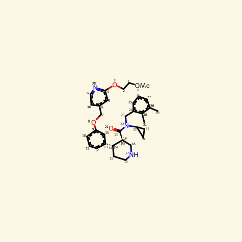 COCCOc1cc(COc2cccc([C@H]3CCNC[C@@H]3C(=O)N(Cc3cccc(C)c3C)C3CC3)c2)ccn1